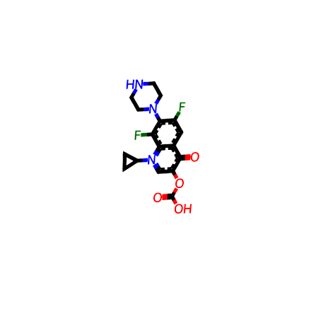 O=C(O)Oc1cn(C2CC2)c2c(F)c(N3CCNCC3)c(F)cc2c1=O